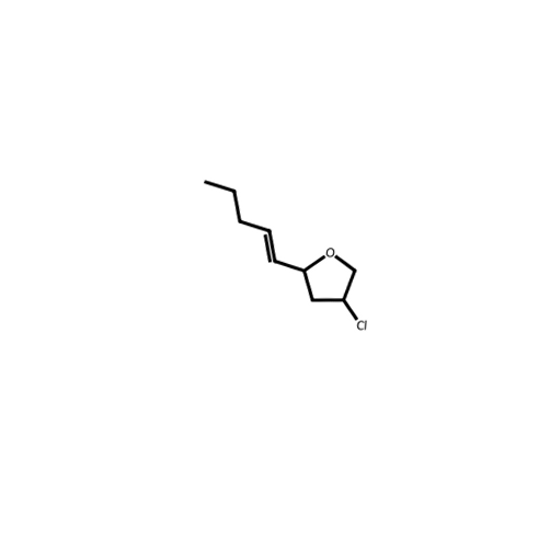 CCCC=CC1CC(Cl)CO1